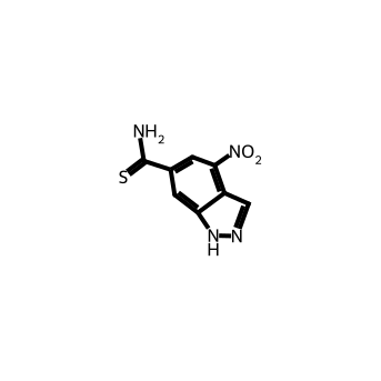 NC(=S)c1cc([N+](=O)[O-])c2cn[nH]c2c1